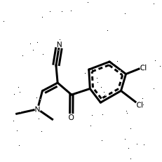 CN(C)/C=C(/C#N)C(=O)c1ccc(Cl)c(Cl)c1